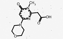 Cn1c(CC(=O)O)nc(N2CCOCC2)cc1=O